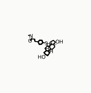 CN(C)C(=O)C=Cc1ccc(SC2Cc3cc(O)ccc3[C@H]3CC[C@]4(C)C(O)CC[C@H]4[C@H]23)cc1